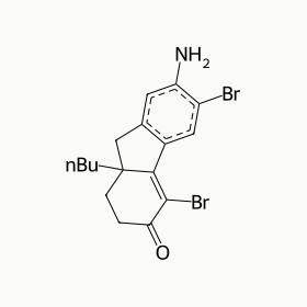 CCCCC12CCC(=O)C(Br)=C1c1cc(Br)c(N)cc1C2